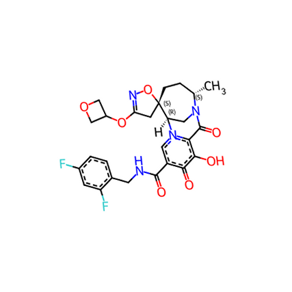 C[C@H]1CC[C@]2(CC(OC3COC3)=NO2)[C@H]2CN1C(=O)c1c(O)c(=O)c(C(=O)NCc3ccc(F)cc3F)cn12